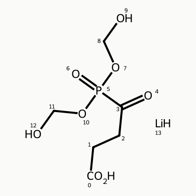 O=C(O)CCC(=O)P(=O)(OCO)OCO.[LiH]